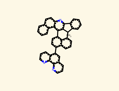 CC12c3ccccc3-c3nc4ccc5ccccc5c4c(c31)-c1ccc(-c3cc4cccnc4c4ncccc34)c3cccc2c13